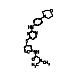 CN(C)CC(=O)Nc1cccc(Sc2ccnc(Nc3ccc(N4CCOCC4)cc3)n2)c1